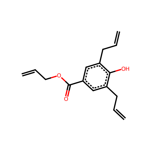 C=CCOC(=O)c1cc(CC=C)c(O)c(CC=C)c1